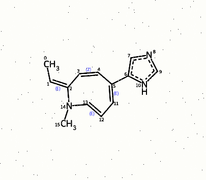 C\C=C1/C=C\C(c2cnc[nH]2)=C/C=C/N1C